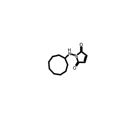 O=C1C=CC(=O)N1NC1CCCCCCCC1